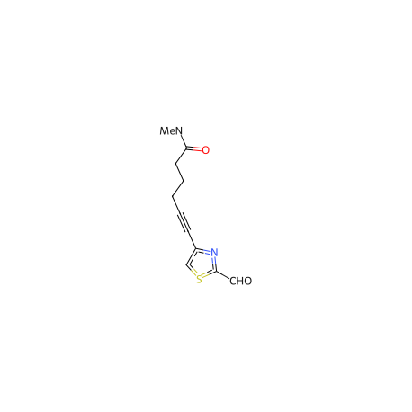 CNC(=O)CCCC#Cc1csc(C=O)n1